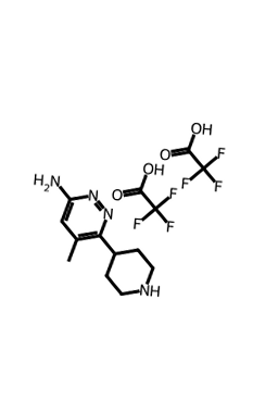 Cc1cc(N)nnc1C1CCNCC1.O=C(O)C(F)(F)F.O=C(O)C(F)(F)F